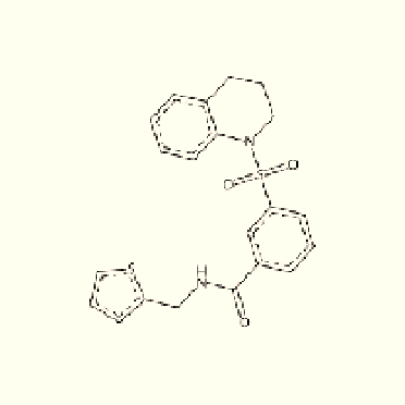 O=C(NCc1cccs1)c1cccc(S(=O)(=O)N2CCCc3ccccc32)c1